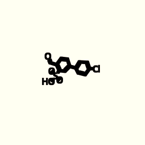 O=Cc1ccc(-c2ccc(Cl)cc2)cc1S(=O)(=O)O